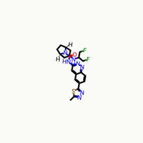 Cc1nnc(-c2ccc3nnc(NC(=O)N4[C@@H]5CC[C@H]4CC(NC(CF)CF)C5)cc3c2)s1